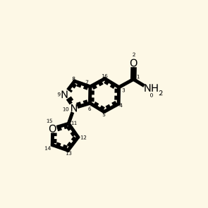 NC(=O)c1ccc2c(cnn2-c2ccco2)c1